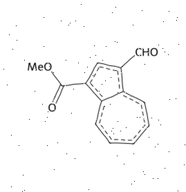 COC(=O)c1cc(C=O)c2cccccc1-2